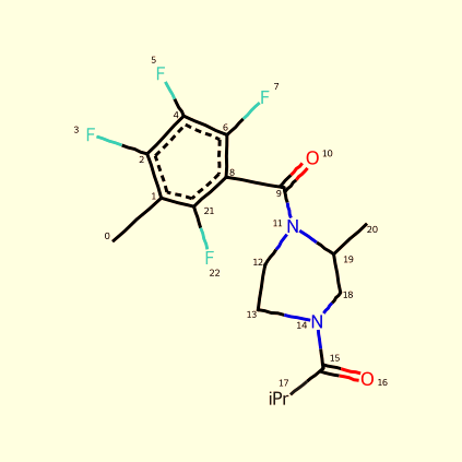 Cc1c(F)c(F)c(F)c(C(=O)N2CCN(C(=O)C(C)C)CC2C)c1F